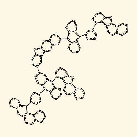 c1cc(-c2c3ccccc3c(-c3ccc4cc5oc6ccc(-c7ccc8c(-c9ccc(-c%10c%11ccccc%11cc%11ccc%12ccccc%12c%10%11)cc9)c9ccccc9c(-c9cccc%10oc%11c%12ccccc%12ccc%11c9%10)c8c7)cc6c5cc4c3)c3ccccc23)cc(-c2cccc3oc4c5ccccc5ccc4c23)c1